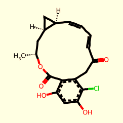 C[C@@H]1C[C@H]2C[C@H]2/C=C\C=C\C(=O)Cc2c(Cl)c(O)cc(O)c2C(=O)O1